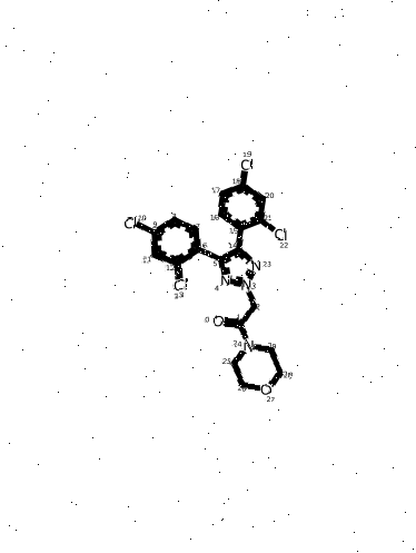 O=C(Cn1nc(-c2ccc(Cl)cc2Cl)c(-c2ccc(Cl)cc2Cl)n1)N1CCOCC1